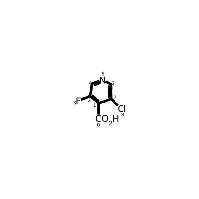 O=C(O)c1c(F)cncc1Cl